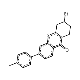 CCC1CCc2c(sc3cc(-c4ccc(C)cc4)ccc3c2=O)C1